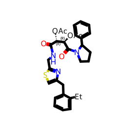 CCc1ccccc1Cc1csc(CNC(=O)[C@H](OC(C)=O)[C@@H](OC(C)=O)C(=O)N2CCCC2c2ccccc2)n1